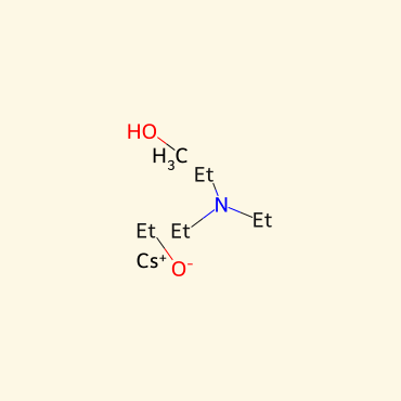 CCN(CC)CC.CC[O-].CO.[Cs+]